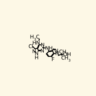 CCNc1nc(Nc2ccc(F)c3c2cnn3CC(C)(C)O)nc2[nH]nc(Cl)c12